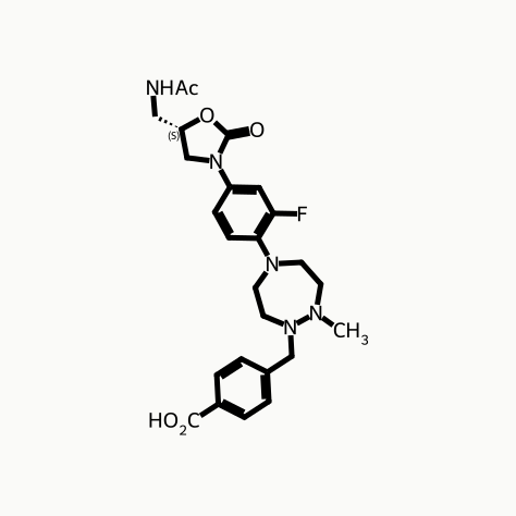 CC(=O)NC[C@H]1CN(c2ccc(N3CCN(C)N(Cc4ccc(C(=O)O)cc4)CC3)c(F)c2)C(=O)O1